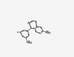 CCC(C)c1ccc2c(-c3cc(C)cc(C(C)(C)C)c3)nccc2c1